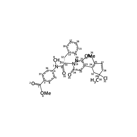 COC(=O)c1ccc(N(C)C(=O)[C@H](Cc2ccccc2)n2nc(OC)c(C3=C(C(C)=O)C=CC(C)(Cl)C3)cc2=O)cc1